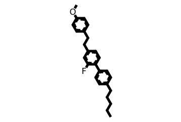 CCCCCc1ccc(-c2ccc(CCc3ccc(OC)cc3)cc2F)cc1